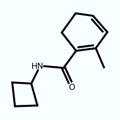 CC1=C(C(=O)NC2CCC2)CCC=C1